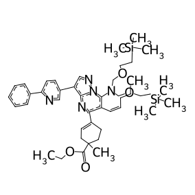 CCC/C=C\c1c(C2=CCC(C)(C(=O)OCC)CC2)nc2c(-c3ccc(-c4ccccc4)nc3)cnn2c1N(COCC[Si](C)(C)C)COCC[Si](C)(C)C